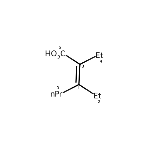 CCCC(CC)=C(CC)C(=O)O